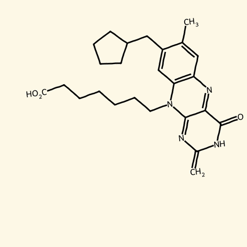 C=c1nc2c(c(=O)[nH]1)=Nc1cc(C)c(CC3CCCC3)cc1N2CCCCCCC(=O)O